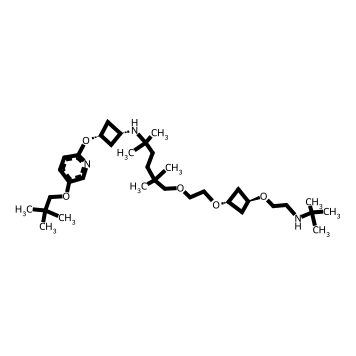 CC(C)(C)COc1ccc(O[C@H]2C[C@@H](NC(C)(C)CCC(C)(C)COCCO[C@H]3C[C@H](OCCNC(C)(C)C)C3)C2)nc1